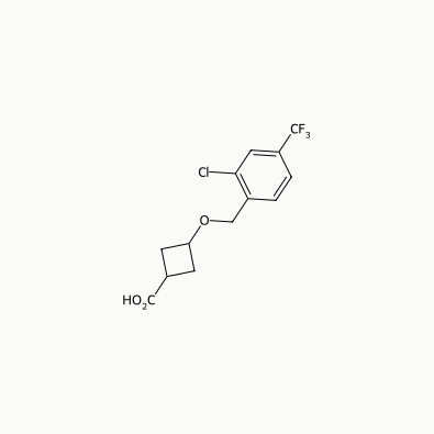 O=C(O)C1CC(OCc2ccc(C(F)(F)F)cc2Cl)C1